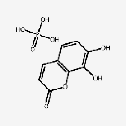 O=P(O)(O)O.O=c1ccc2ccc(O)c(O)c2o1